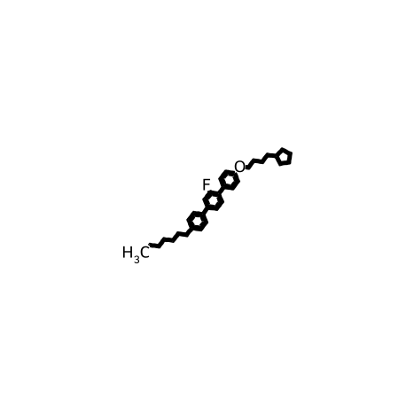 CCCCCCCc1ccc(-c2ccc(-c3ccc(OCCCCC4CCCC4)cc3)c(F)c2)cc1